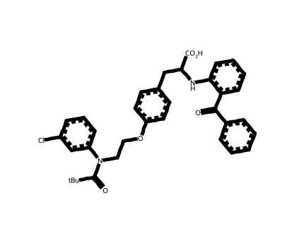 CC(C)(C)C(=O)N(CCOc1ccc(CC(Nc2ccccc2C(=O)c2ccccc2)C(=O)O)cc1)c1cccc(Cl)c1